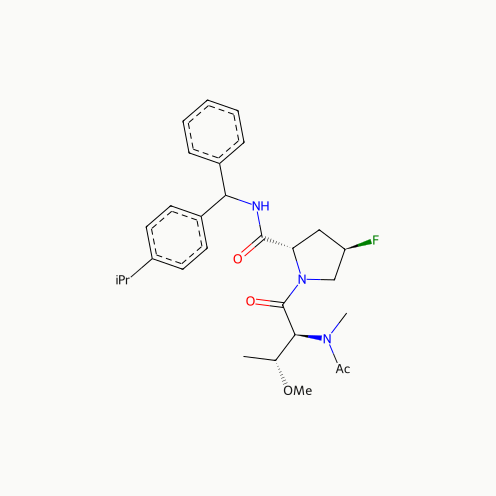 CO[C@H](C)[C@@H](C(=O)N1C[C@H](F)C[C@H]1C(=O)NC(c1ccccc1)c1ccc(C(C)C)cc1)N(C)C(C)=O